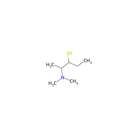 CCC(S)C(C)N(C)C